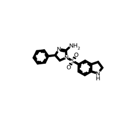 NC1=NC(c2ccccc2)CN1S(=O)(=O)c1ccc2c(c1)CCN2